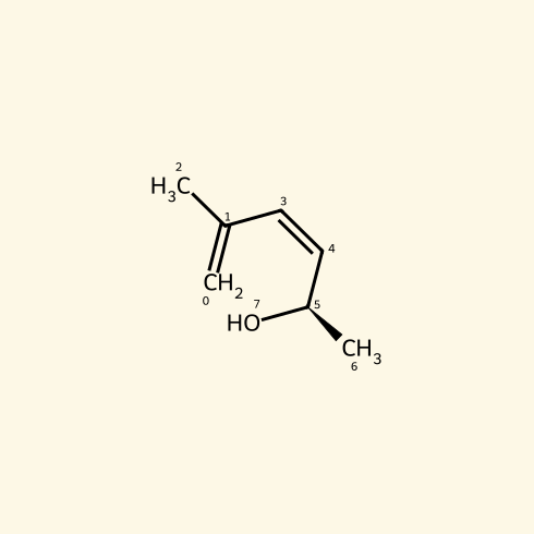 C=C(C)/C=C\[C@@H](C)O